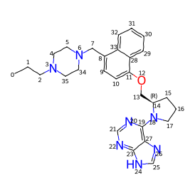 CCCN1CCN(Cc2ccc(OC[C@H]3CCCN3c3ncnc4[nH]cnc34)c3ccccc23)CC1